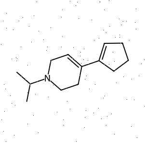 CC(C)N1CC=C(C2=CCCC2)CC1